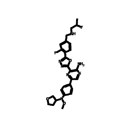 CON(c1ccc(-c2cnc(N)c(-c3nnc(-c4ccc(CNCC(C)F)cc4F)o3)n2)cc1)C1CCOC1